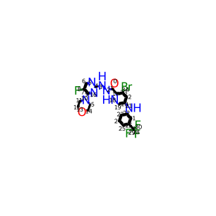 O=C(NNc1ncc(F)c(N2CCOCC2)n1)c1ncc(Nc2cccc(C(F)(F)F)c2)cc1Br